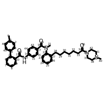 Cc1ccc(-c2ccccc2C(=O)Nc2ccc(C(=O)N(C)c3ccccc3CCCCCCC(=O)N3CCN(C)CC3)cc2)cc1